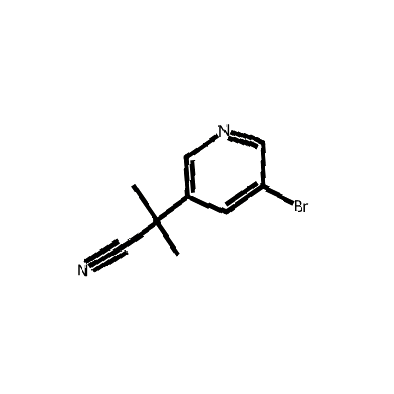 CC(C)(C#N)c1cncc(Br)c1